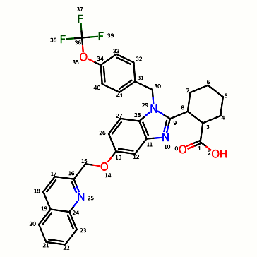 O=C(O)C1CCCCC1c1nc2cc(OCc3ccc4ccccc4n3)ccc2n1Cc1ccc(OC(F)(F)F)cc1